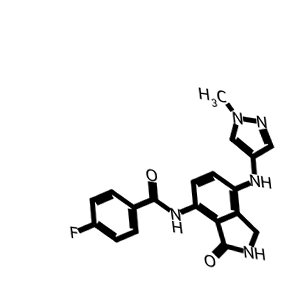 Cn1cc(Nc2ccc(NC(=O)c3ccc(F)cc3)c3c2CNC3=O)cn1